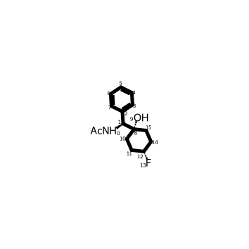 CC(=O)N[C@@H](c1ccccc1)[C@]1(O)CC[C@@H](F)CC1